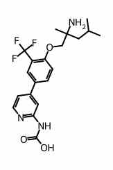 CC(C)CC(C)(N)COc1ccc(-c2ccnc(NC(=O)O)c2)cc1C(F)(F)F